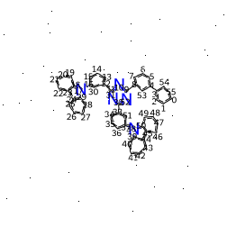 c1ccc(-c2cccc(-c3nc(-c4cccc(-n5c6ccccc6c6ccccc65)c4)nc(-c4cccc(-n5c6ccccc6c6ccccc65)c4)n3)c2)cc1